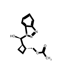 CC(=O)OC[C@@H]1CC[C@H]1[C@@H](O)n1nnc2ccccc21